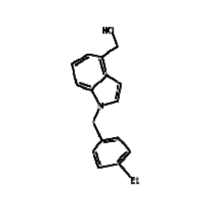 CCc1ccc(Cn2ccc3c(CO)cccc32)cc1